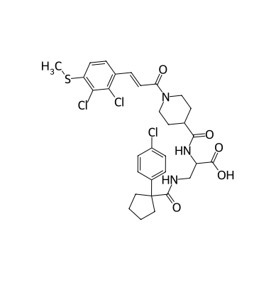 CSc1ccc(C=CC(=O)N2CCC(C(=O)NC(CNC(=O)C3(c4ccc(Cl)cc4)CCCC3)C(=O)O)CC2)c(Cl)c1Cl